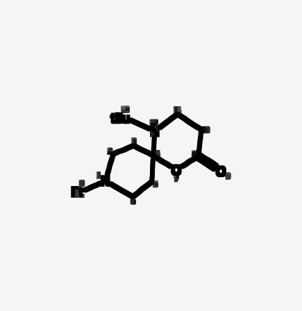 CCN1CCC2(CC1)OC(=O)CCN2C(C)(C)C